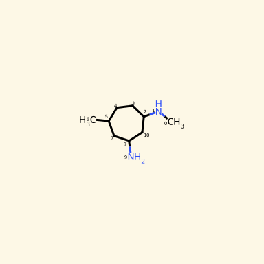 CNC1CCC(C)CC(N)C1